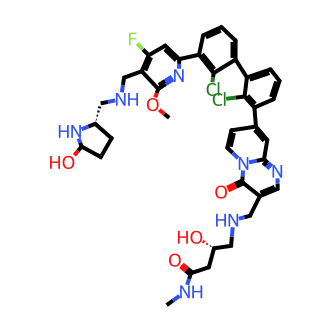 CNC(=O)C[C@H](O)CNCc1cnc2cc(-c3cccc(-c4cccc(-c5cc(F)c(CNC[C@@H]6CCC(O)N6)c(OC)n5)c4Cl)c3Cl)ccn2c1=O